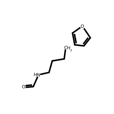 CCCCNC=O.c1ccoc1